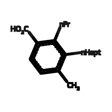 CCCCCCCc1c(C)ccc(C(=O)O)c1CCC